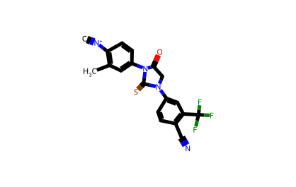 [C-]#[N+]c1ccc(N2C(=O)CN(c3ccc(C#N)c(C(F)(F)F)c3)C2=S)cc1C